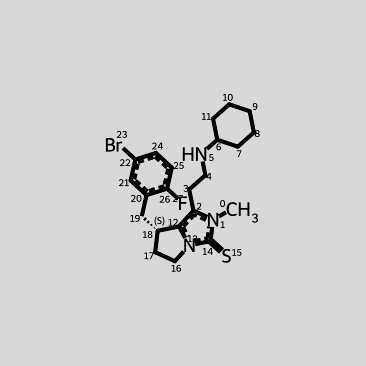 Cn1c(CCNC2CCCCC2)c2n(c1=S)CC[C@@H]2Cc1cc(Br)ccc1F